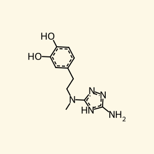 CN(CCc1ccc(O)c(O)c1)c1nnc(N)[nH]1